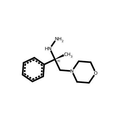 C[C@](CN1CCOCC1)(NN)c1ccccc1